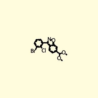 COC(OC)c1ccc2c(-c3cccc(Br)c3Cl)noc2c1